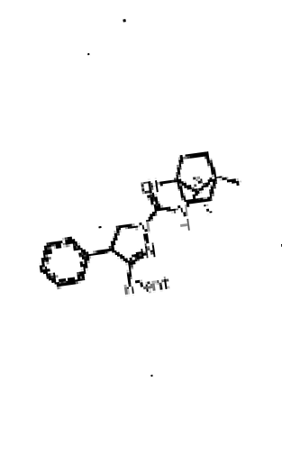 CCCCCC1=NN(C(=O)N[C@@]2(C)[C@H]3CC[C@]2(C)CC3)CC1c1ccccc1